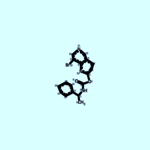 CC(NC(=O)Oc1ccc2cncc(Br)c2n1)c1ccccc1